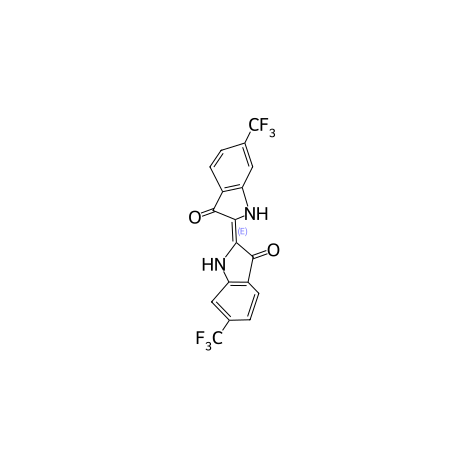 O=C1/C(=C2\Nc3cc(C(F)(F)F)ccc3C2=O)Nc2cc(C(F)(F)F)ccc21